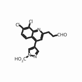 O=CCCc1cc(-c2cnn(C(=O)O)c2)c2ccc(Cl)c(Cl)c2n1